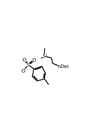 CCCCCCCCCCCC[S+](C)C.Cc1ccc(S(=O)(=O)[O-])cc1